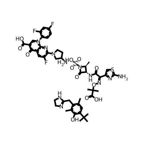 C[C@H]1[C@H](NC(=O)/C(=N\OC(C)(C)C(=O)O)c2csc(N)n2)C(=O)N1S(=O)(=O)O.Cc1cc(C(C)(C)C)c(O)c(C)c1CC1=NCCN1.NC1CCN(c2nc3c(cc2F)c(=O)c(C(=O)O)cn3-c2ccc(F)cc2F)C1